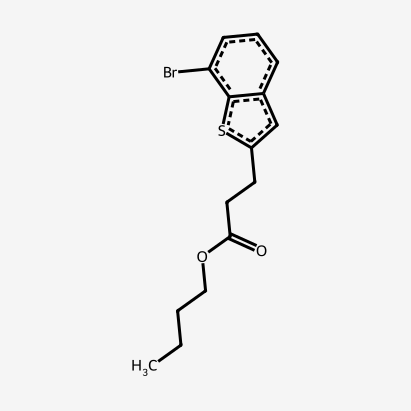 CCCCOC(=O)CCc1cc2cccc(Br)c2s1